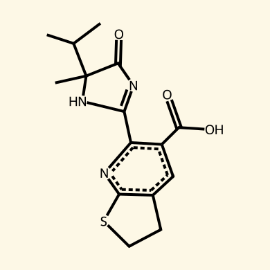 CC(C)C1(C)NC(c2nc3c(cc2C(=O)O)CCS3)=NC1=O